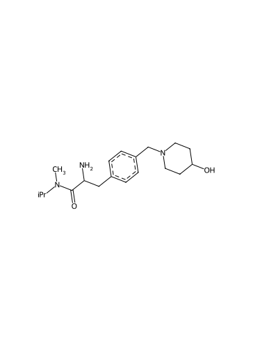 CC(C)N(C)C(=O)C(N)Cc1ccc(CN2CCC(O)CC2)cc1